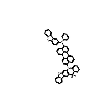 CC1(C)c2ccccc2N(c2ccc3c4cccc5c(N(c6ccccc6)c6ccc7sc8ccccc8c7c6)ccc(c6cccc2c63)c54)c2cc3sc4ccccc4c3cc21